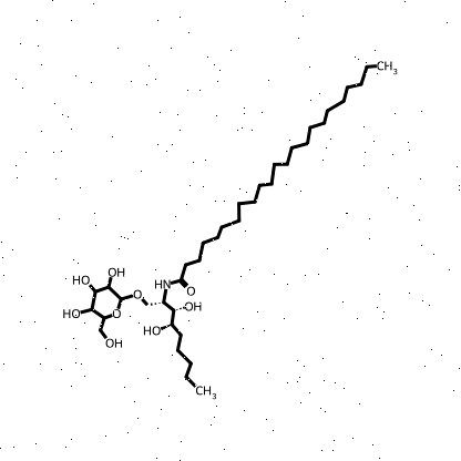 CCCCCCCCCCCCCCCCCCCCCCC(=O)N[C@@H](COC1OC(CO)C(O)C(O)C1O)[C@H](O)[C@H](O)CCCCC